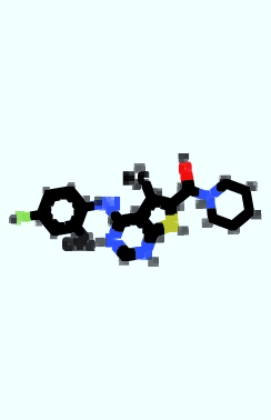 COc1cc(F)ccc1Nc1ncnc2sc(C(=O)N3CCCCC3)c(C)c12